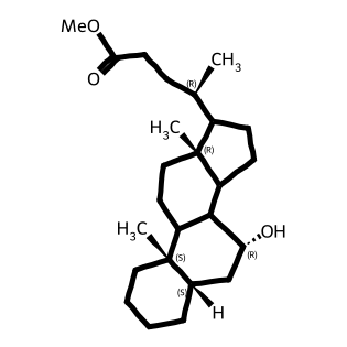 COC(=O)CC[C@@H](C)C1CCC2C3C(CC[C@@]21C)[C@@]1(C)CCCC[C@H]1C[C@H]3O